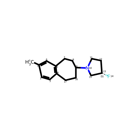 Cc1ccc2c(c1)CCC(N1CC[C@H](F)C1)CC2